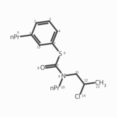 CCCc1cccc(SC(=O)N(CCC)CC(C)Cl)c1